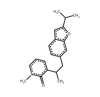 CC(C)c1cc2ccc(CC(C)c3cccn(C)c3=O)cc2o1